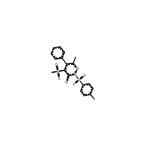 Cc1ccc(S(=O)(=O)n2nc(C)c(-c3ccccc3)c(S(C)(=O)=O)c2=O)cc1